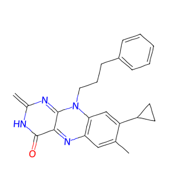 C=c1nc2c(c(=O)[nH]1)=Nc1cc(C)c(C3CC3)cc1N2CCCc1ccccc1